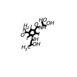 CC(O)CNc1c(I)c(C(N)=O)c(I)c(C(=O)NC(CO)CO)c1I